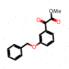 COC(=O)C(=O)c1cccc(OCc2ccccc2)c1